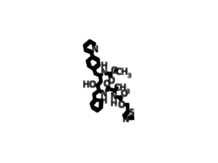 COC(=O)NC(Cc1ccc(-c2ccccn2)cc1)CC(O)C(Cc1ccccc1)NC(=O)C(C)NC(=O)OCc1cncs1